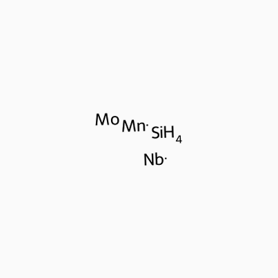 [Mn].[Mo].[Nb].[SiH4]